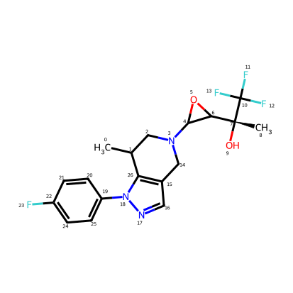 CC1CN(C2OC2[C@@](C)(O)C(F)(F)F)Cc2cnn(-c3ccc(F)cc3)c21